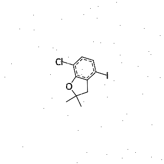 CC1(C)Cc2c(I)ccc(Cl)c2O1